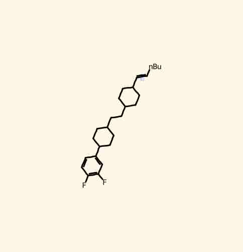 CCCC/C=C/C1CCC(CCC2CCC(c3ccc(F)c(F)c3)CC2)CC1